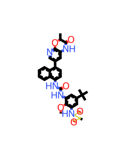 COc1c(NC(=O)Nc2ccc(-c3cnc4c(c3)NC(=O)C(C)O4)c3ccccc23)cc(C(C)(C)C)cc1NS(C)(=O)=O